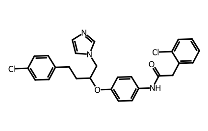 O=C(Cc1ccccc1Cl)Nc1ccc(OC(CCc2ccc(Cl)cc2)Cn2ccnc2)cc1